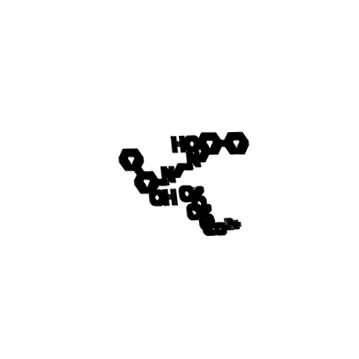 CC(=O)[O-].CC(=O)[O-].Oc1ccc(-c2ccccc2)cc1C=NCCCN=Cc1cc(-c2ccccc2)ccc1O.[Co+2]